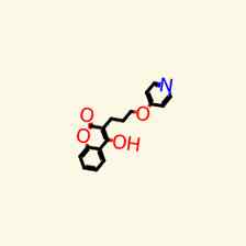 O=c1oc2ccccc2c(O)c1CCCOc1ccncc1